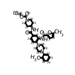 Cc1ccc(C(=O)Nc2cc(C(=O)NC3CCN(C(=O)OC(C)(C)C)CC3)ccc2N2CCN(c3ccccc3C)CC2)o1